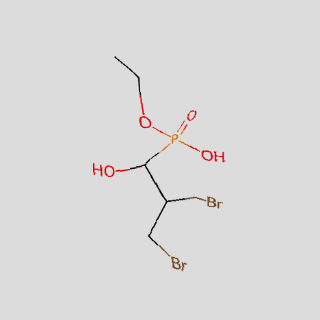 CCOP(=O)(O)C(O)C(Br)CBr